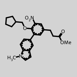 COC(=O)CCc1cc(-c2ccc3c(ccn3C)c2)c(OCC2CCCC2)c([N+](=O)[O-])c1